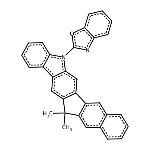 CC1(C)c2cc3ccccc3cc2-c2cc3c(cc21)c1ccccc1n3-c1nc2ccccc2o1